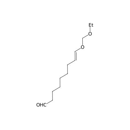 CCOCOC=CCCCCCCC=O